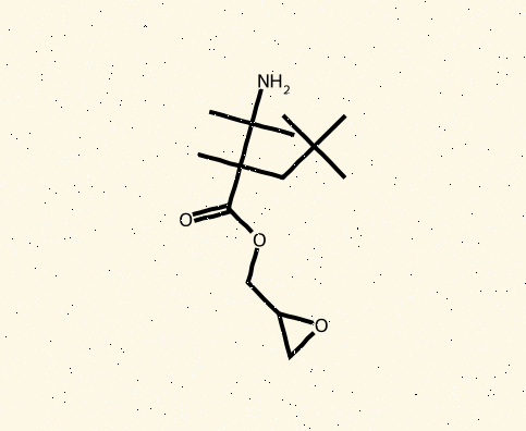 CC(C)(C)CC(C)(C(=O)OCC1CO1)C(C)(C)N